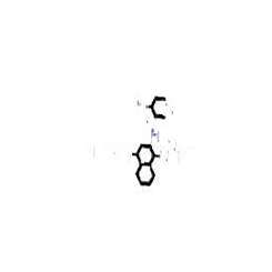 CCOc1ccncc1/N=N/c1cc(S(=O)(=O)O)c2ccccc2c1N.[NaH]